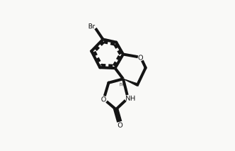 O=C1N[C@]2(CCOc3cc(Br)ccc32)CO1